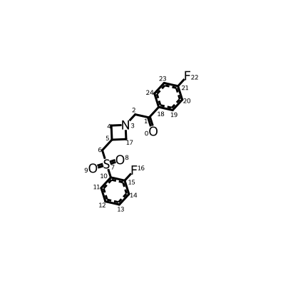 O=C(CN1CC(CS(=O)(=O)c2ccccc2F)C1)c1ccc(F)cc1